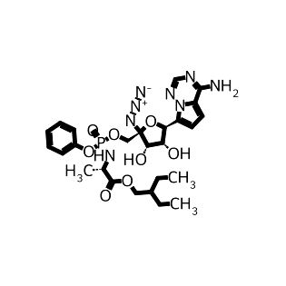 CCC(CC)COC(=O)[C@H](C)NP(=O)(OC[C@@]1(N=[N+]=[N-])O[C@@H](c2ccc3c(N)ncnn23)[C@H](O)[C@@H]1O)Oc1ccccc1